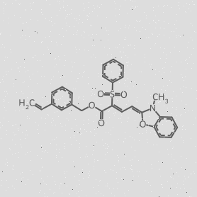 C=Cc1cccc(COC(=O)/C(=C/C=C2\Oc3ccccc3N2C)S(=O)(=O)c2ccccc2)c1